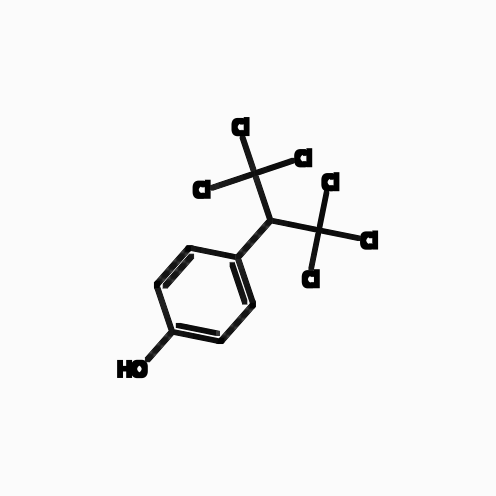 Oc1ccc(C(C(Cl)(Cl)Cl)C(Cl)(Cl)Cl)cc1